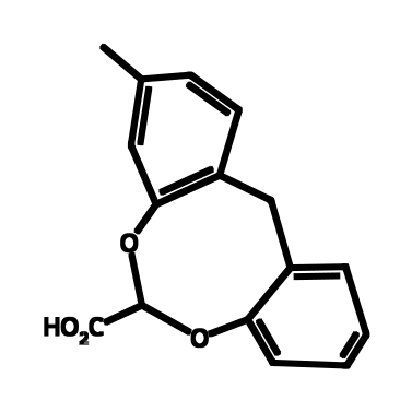 Cc1ccc2c(c1)OC(C(=O)O)Oc1ccccc1C2